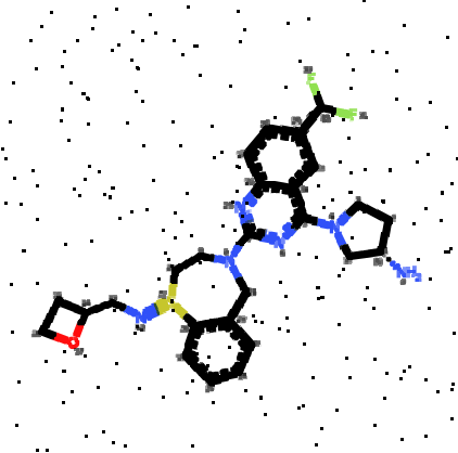 N[C@H]1CCN(c2nc(N3CCS(=NCC4CCO4)c4ccccc4C3)nc3ccc(C(F)F)cc23)C1